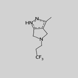 Cc1n[nH]c2c1CN(CCC(F)(F)F)C2